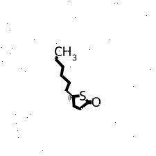 CCCCCC[C@@H]1CCC(=O)S1